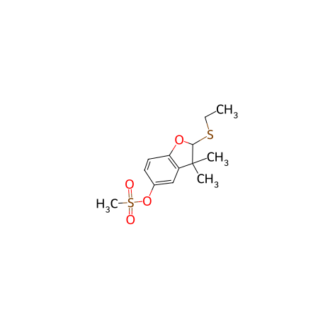 CCSC1Oc2ccc(OS(C)(=O)=O)cc2C1(C)C